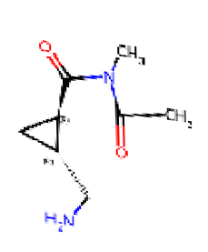 CC(=O)N(C)C(=O)[C@@H]1C[C@H]1CN